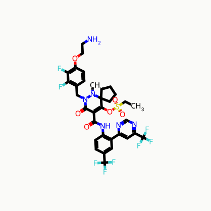 CCS(=O)(=O)OC1=C(C(=O)Nc2ccc(C(F)(F)F)cc2-c2cc(C(F)(F)F)ncn2)C(=O)N(Cc2ccc(OCCN)c(F)c2F)N(C)C12CCCC2